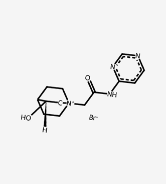 O=C(C[N+]12CCC(CC1)[C@@H](O)C2)Nc1ccncn1.[Br-]